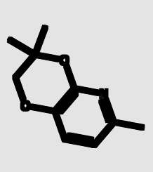 Cc1ccc2c(n1)OC(C)(C)CO2